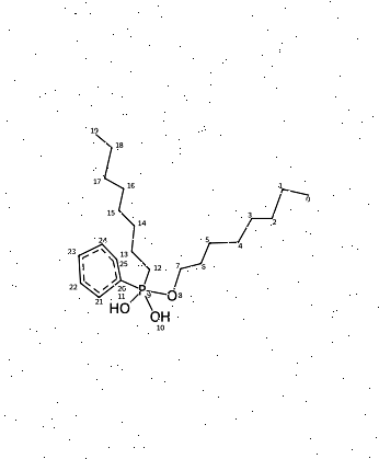 CCCCCCCCOP(O)(O)(CCCCCCCC)c1ccccc1